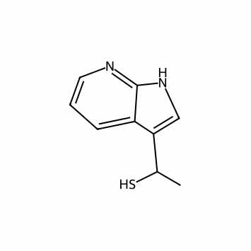 CC(S)c1c[nH]c2ncccc12